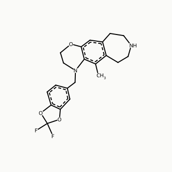 Cc1c2c(cc3c1N(Cc1ccc4c(c1)OC(F)(F)O4)CCO3)CCNCC2